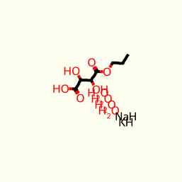 CCCOC(=O)C(O)C(O)C(=O)O.O.O.O.O.[KH].[NaH]